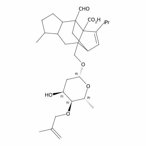 C=C(C)CO[C@H]1[C@@H](O)C[C@H](OCC23CC4C(C)CCC4C4(C=O)CC2C=C(C(C)C)C43C(=O)O)O[C@@H]1C